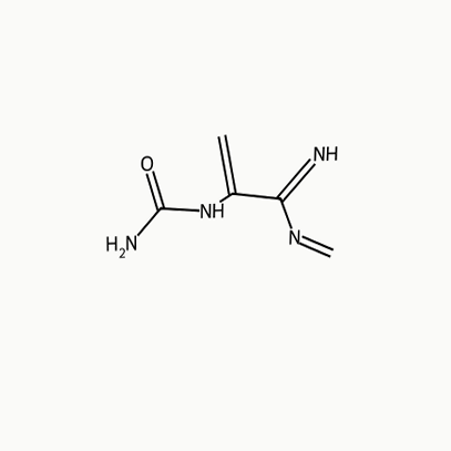 C=NC(=N)C(=C)NC(N)=O